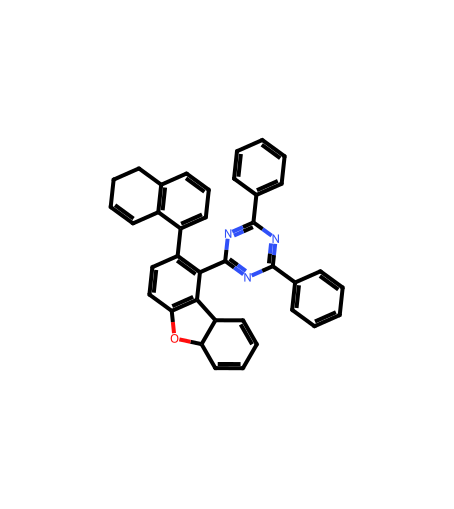 C1=CC2Oc3ccc(-c4cccc5c4C=CCC5)c(-c4nc(-c5ccccc5)nc(-c5ccccc5)n4)c3C2C=C1